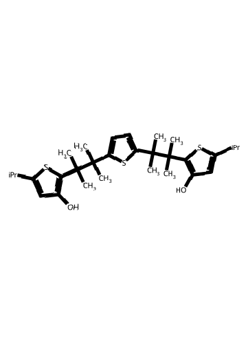 CC(C)c1cc(O)c(C(C)(C)C(C)(C)c2ccc(C(C)(C)C(C)(C)c3sc(C(C)C)cc3O)s2)s1